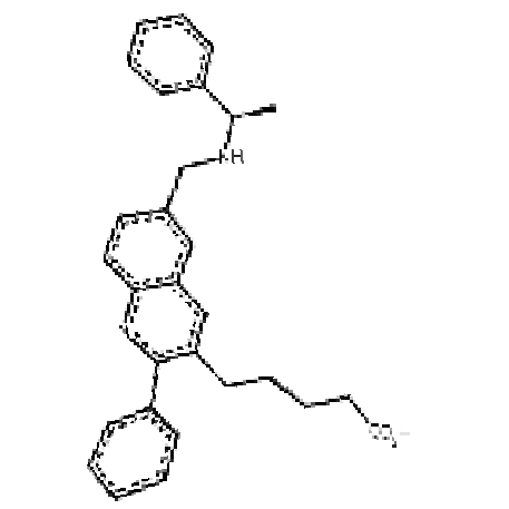 C[C@@H](NCc1ccc2nc(-c3ccccc3)c(CCCCC(=O)O)cc2c1)c1ccccc1